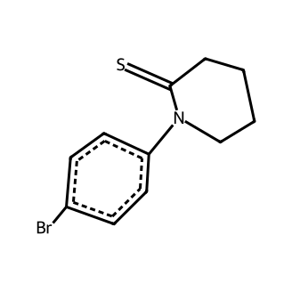 S=C1CCCCN1c1ccc(Br)cc1